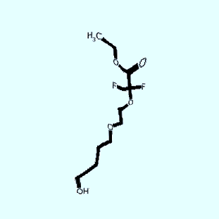 CCOC(=O)C(F)(F)OCCOCCCCO